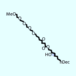 CCCCCCCCCCCCC/C=C/[C@@H](O)CCOC(=O)CCC(=O)CCCCOCCOCCOCCOCCOC